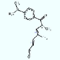 CC(/C=C/C=O)=C\[C@@H](C)C(=O)c1ccc(N(C)C)cc1